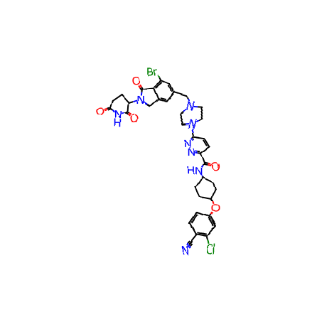 N#Cc1ccc(OC2CCC(NC(=O)c3ccc(N4CCN(Cc5cc(Br)c6c(c5)CN(C5CCC(=O)NC5=O)C6=O)CC4)nn3)CC2)cc1Cl